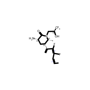 C=C(/C(F)=C(F)\C=C/C)[C@@H]1C[C@H](N)C(=O)N(C[C@H](O)C(F)(F)F)[C@@H]1C